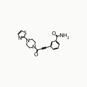 NC(=O)c1cccc(C#CC(=O)N2CCN(c3nccs3)CC2)c1